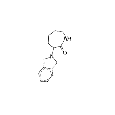 O=C1NCCCCC1N1Cc2ccccc2C1